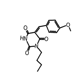 CCCCN1C(=O)NC(=O)C(=Cc2ccc(OC)cc2)C1=O